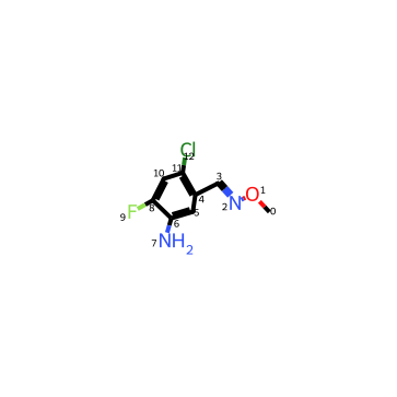 CON=Cc1cc(N)c(F)cc1Cl